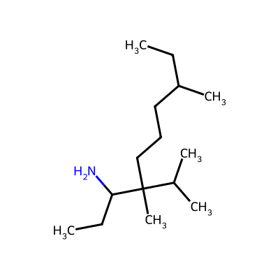 CCC(C)CCCC(C)(C(C)C)C(N)CC